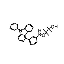 CC(C)(O)C(C)(C)OBc1cccc(-c2cccc3c2c2ccccc2n3-c2ccccc2)c1